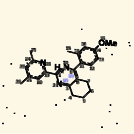 C=C(/N=C1/CCCC/C1=C(/N)c1ccc(OC)cc1C)c1cc(C)cc(C)n1